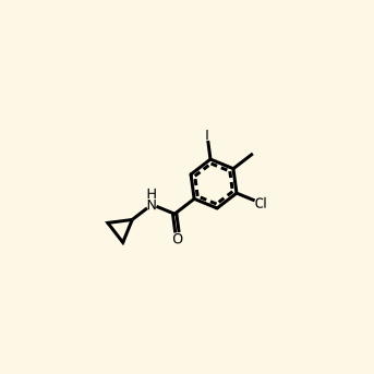 Cc1c(Cl)cc(C(=O)NC2CC2)cc1I